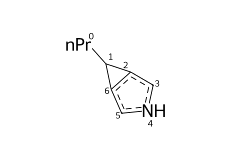 CCCC1c2c[nH]cc21